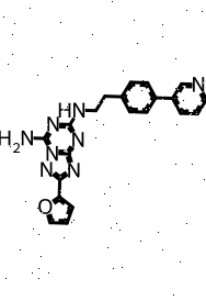 Nc1nc(NCCc2ccc(-c3cccnc3)cc2)nc2nc(-c3ccco3)nn12